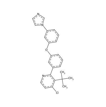 CC(C)(C)c1c(Cl)ccnc1-c1cccc(Oc2cccc(-n3ccnc3)c2)c1